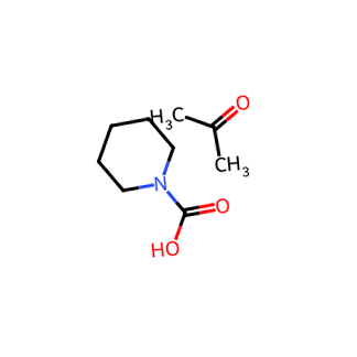 CC(C)=O.O=C(O)N1CCCCC1